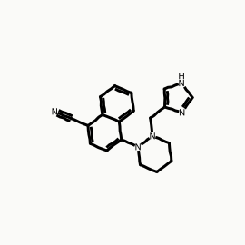 N#Cc1ccc(N2CCCCN2Cc2c[nH]cn2)c2ccccc12